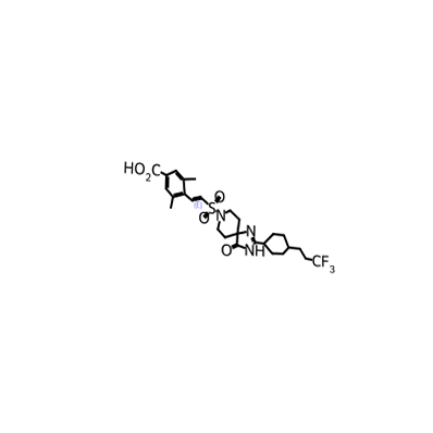 Cc1cc(C(=O)O)cc(C)c1/C=C/S(=O)(=O)N1CCC2(CC1)N=C(C1CCC(CCC(F)(F)F)CC1)NC2=O